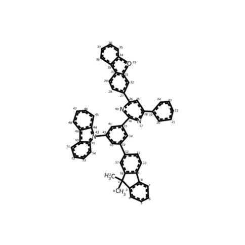 CC1(C)c2ccccc2-c2ccc(-c3cc(-c4nc(-c5ccccc5)cc(-c5ccc6c(c5)oc5ccccc56)n4)cc(-n4c5ccccc5c5ccccc54)c3)cc21